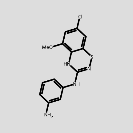 COc1cc(Cl)cc2c1NC(Nc1cccc(N)c1)=NS2